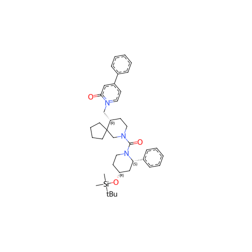 CC(C)(C)[Si](C)(C)O[C@@H]1CCN(C(=O)N2CC[C@@H](Cn3ccc(-c4ccccc4)cc3=O)C3(CCCC3)C2)[C@H](c2ccccc2)C1